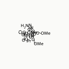 COCCOCC(=O)O[C@@H](c1ccc2c(N)ncnn12)[C@H](OC(=O)COCCOC)[C@@](C#N)(COP(=O)(N[C@@H](C)C(=O)OC(C)C)Oc1ccccc1)OC